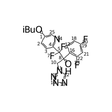 CC(C)COc1ccc(C(F)(F)C(O)(Cn2cnnn2)c2ccc(F)cc2F)nc1